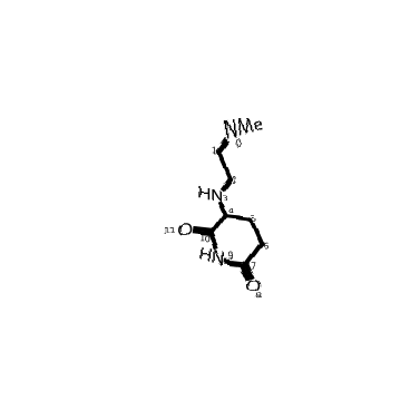 CNCCNC1CCC(=O)NC1=O